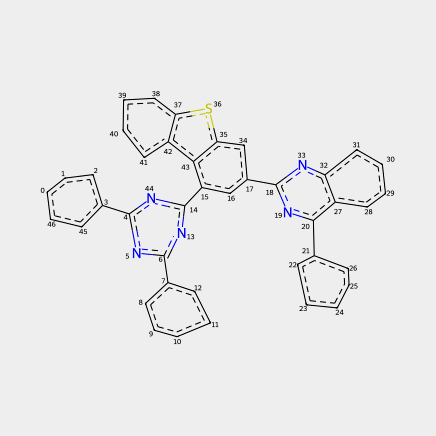 c1ccc(-c2nc(-c3ccccc3)nc(-c3cc(-c4nc(-c5ccccc5)c5ccccc5n4)cc4sc5ccccc5c34)n2)cc1